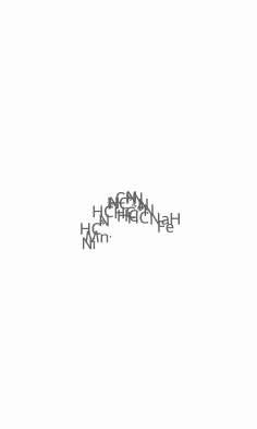 C.C#N.C#N.C#N.C#N.C#N.C#N.[Fe].[Mn].[NaH].[Ni]